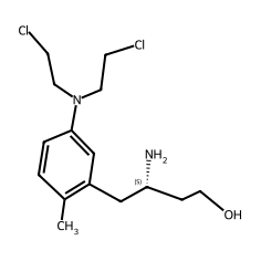 Cc1ccc(N(CCCl)CCCl)cc1C[C@H](N)CCO